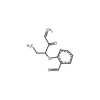 C=CC(=O)C(CC)Oc1ccccc1C=O